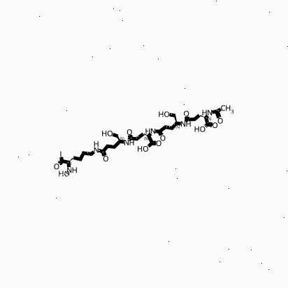 CC(=O)N[C@@H](CCC(=O)N[C@H](CO)CCC(=O)N[C@@H](CCC(=O)N[C@H](CO)CCC(=O)NCCCC[C@H](NO)C(=O)I)C(=O)O)C(=O)O